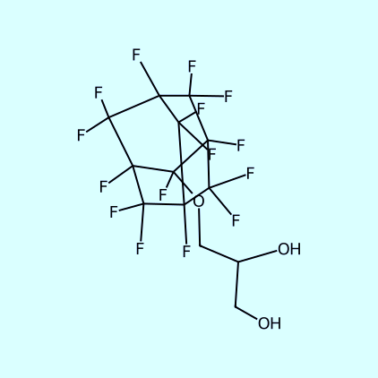 OCC(O)COC1(F)C2(F)C(F)(F)C3(F)C(F)(F)C(F)(C2(F)F)C(F)(F)C1(F)C3(F)F